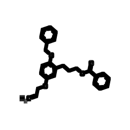 C=CCOc1ccc(OCc2ccccc2)c(CCCOC(=O)c2ccccc2)c1